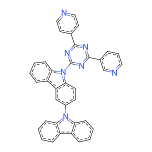 c1cncc(-c2nc(-c3ccncc3)nc(-n3c4ccccc4c4cc(-n5c6ccccc6c6ccccc65)ccc43)n2)c1